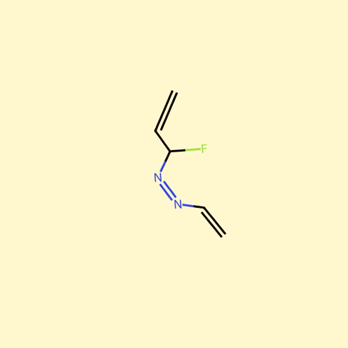 C=C/N=N\C(F)C=C